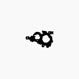 CC1C/C=C/[C@H](O)C2CCC2CN2CCCCCc3cc(Cl)ccc3COc3ccc(cc32)C(=O)NS(=O)(=O)C1C